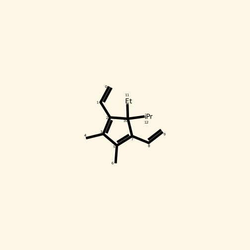 C=CC1=C(C)C(C)=C(C=C)C1(CC)C(C)C